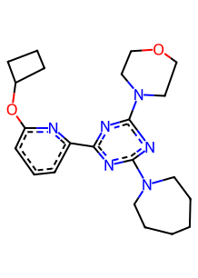 c1cc(OC2CCC2)nc(-c2nc(N3CCCCCC3)nc(N3CCOCC3)n2)c1